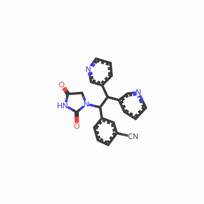 N#Cc1cccc(C(C(c2cccnc2)c2cccnc2)N2CC(=O)NC2=O)c1